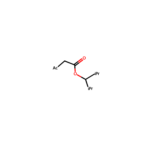 CC(=O)CC(=O)OC(C(C)C)C(C)C